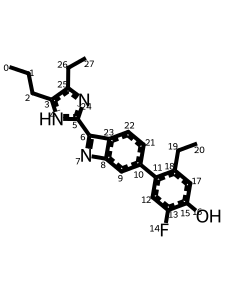 CCCc1[nH]c(C2=Nc3cc(-c4cc(F)c(O)cc4CC)ccc32)nc1CC